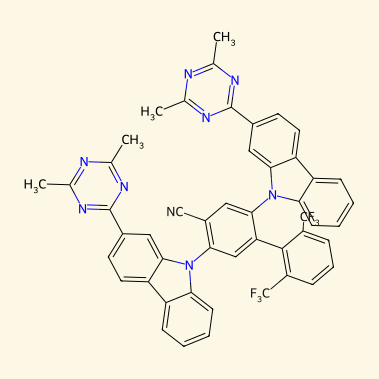 Cc1nc(C)nc(-c2ccc3c4ccccc4n(-c4cc(-c5c(C(F)(F)F)cccc5C(F)(F)F)c(-n5c6ccccc6c6ccc(-c7nc(C)nc(C)n7)cc65)cc4C#N)c3c2)n1